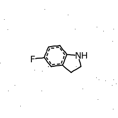 Fc1[c]c2c(cc1)NCC2